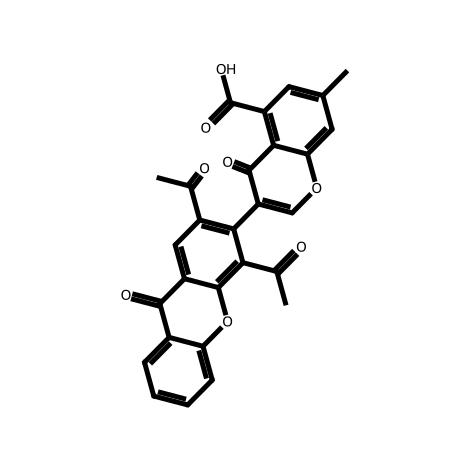 CC(=O)c1cc2c(=O)c3ccccc3oc2c(C(C)=O)c1-c1coc2cc(C)cc(C(=O)O)c2c1=O